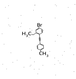 CCc1cc(Br)ccc1C#Cc1ccc(C)cc1